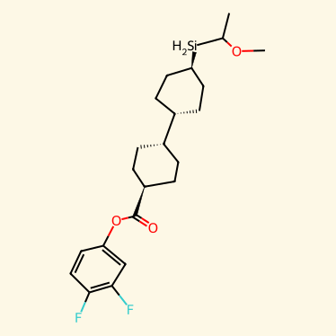 COC(C)[SiH2][C@H]1CC[C@H]([C@H]2CC[C@H](C(=O)Oc3ccc(F)c(F)c3)CC2)CC1